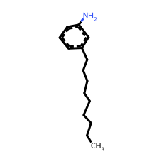 CCCCCCCCCc1cccc(N)c1